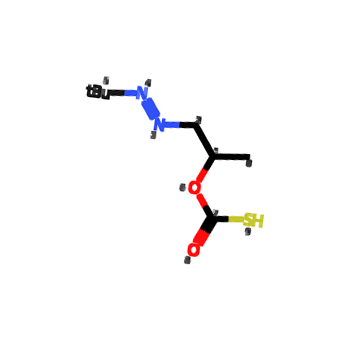 CC(CN=NC(C)(C)C)OC(=O)S